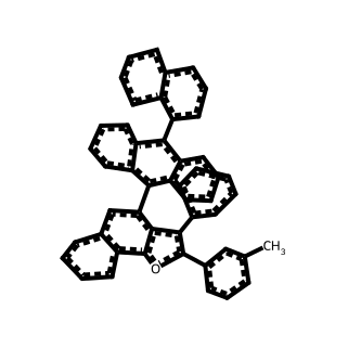 Cc1cccc(-c2oc3c(c(-c4c5ccccc5c(-c5cccc6ccccc56)c5ccccc45)cc4ccccc43)c2-c2ccccc2)c1